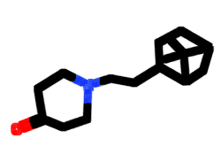 CC1(C)C2CCC(CCN3CCC(=O)CC3)C1C2